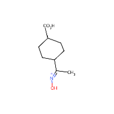 C/C(=N\O)C1CCC(C(=O)O)CC1